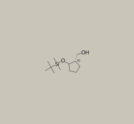 CC(C)(C)[Si](C)(C)OC1CCC[C@H]1CO